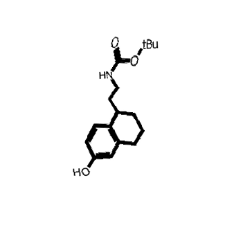 CC(C)(C)OC(=O)NCCC1CCCc2cc(O)ccc21